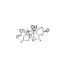 C[C@@H]1C[C@H]2[C@@H]3C[C@H](C)C4=CC(=O)CC[C@]4(C)[C@H]3[C@@H](O)C[C@]2(C)[C@H]1C(=O)C(=O)O